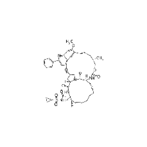 COc1cc2nc(-c3ccccc3)cc3c2cc1/C=C/C[C@H](C)COC(=O)N[C@H]1CCCCC/C=C\[C@@H]2C[C@@]2(C(=O)NS(=O)(=O)C2CC2)NC(=O)[C@@H]2C[C@H](CN2C1=O)O3